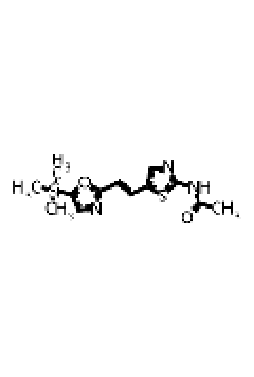 CC(=O)Nc1ncc(C=Cc2ncc([Si](C)(C)C)o2)s1